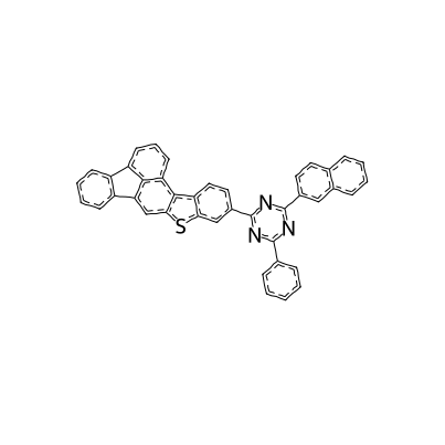 c1ccc(-c2nc(-c3ccc4ccccc4c3)nc(-c3ccc4c(c3)sc3cc5c6c(cccc6c34)-c3ccccc3-5)n2)cc1